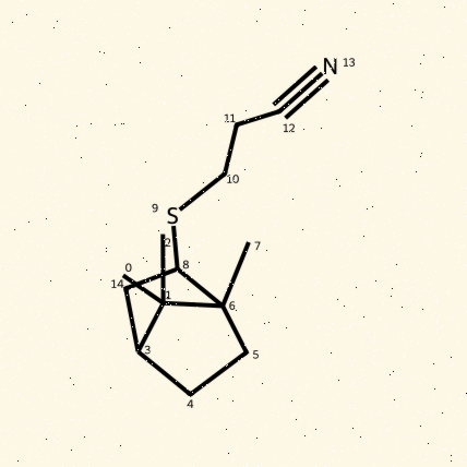 CC1(C)C2CCC1(C)C(SCCC#N)C2